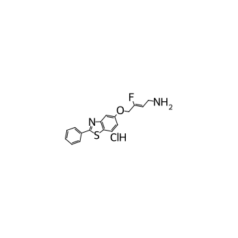 Cl.NC/C=C(\F)COc1ccc2sc(-c3ccccc3)nc2c1